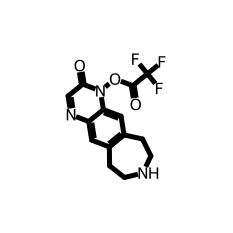 O=C(On1c(=O)cnc2cc3c(cc21)CCNCC3)C(F)(F)F